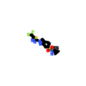 N#CC1(NS(=O)(=O)c2ccc3cn(-c4nnc(C(F)F)s4)nc3c2)CC1